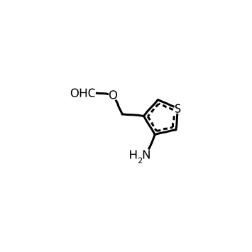 Nc1cscc1COC=O